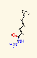 C=CC=CC=CC(=O)NN